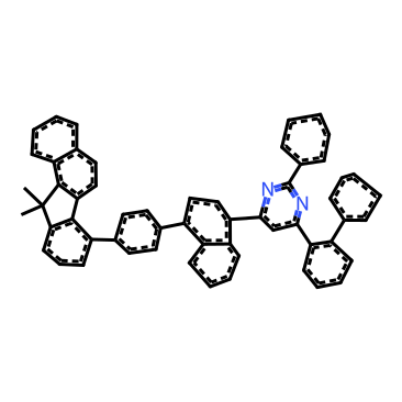 CC1(C)c2cccc(-c3ccc(-c4ccc(-c5cc(-c6ccccc6-c6ccccc6)nc(-c6ccccc6)n5)c5ccccc45)cc3)c2-c2ccc3ccccc3c21